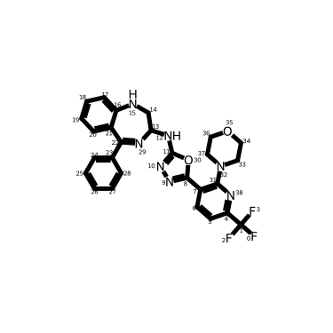 FC(F)(F)c1ccc(-c2nnc(NC3CNc4ccccc4C(c4ccccc4)=N3)o2)c(N2CCOCC2)n1